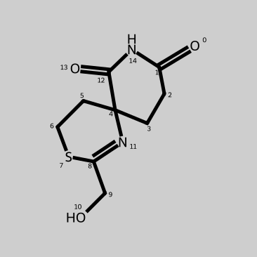 O=C1CCC2(CCSC(CO)=N2)C(=O)N1